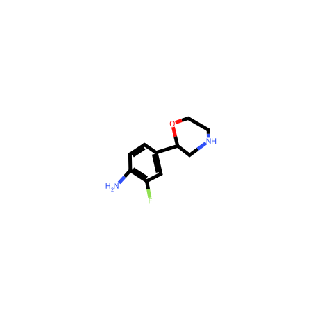 Nc1ccc(C2CNCCO2)cc1F